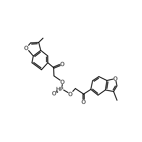 Cc1coc2ccc(C(=O)CO[PH](=O)OCC(=O)c3ccc4occ(C)c4c3)cc12